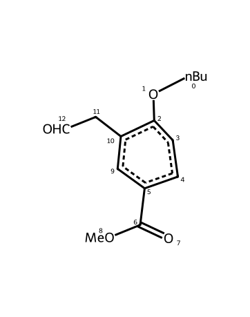 CCCCOc1ccc(C(=O)OC)cc1CC=O